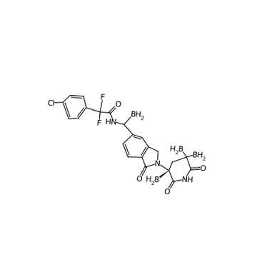 BC(NC(=O)C(F)(F)c1ccc(Cl)cc1)c1ccc2c(c1)CN([C@]1(B)CC(B)(B)C(=O)NC1=O)C2=O